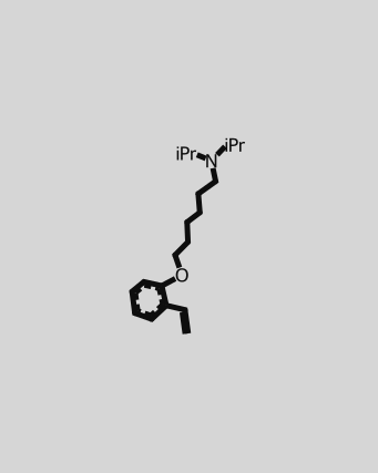 C=Cc1ccccc1OCCCCCCN(C(C)C)C(C)C